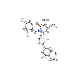 COc1c(C)cc(-c2ccc(-c3cc(C(F)(F)F)c(C#N)c(=O)n3Cc3ccc(F)cc3F)s2)cc1C